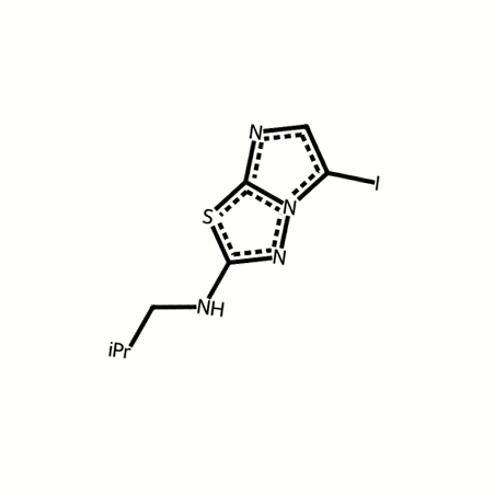 CC(C)CNc1nn2c(I)cnc2s1